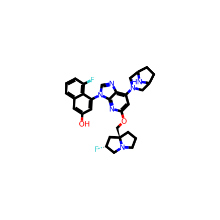 Oc1cc(-n2cnc3c(N4CC5CCC(C4)N5)cc(OC[C@@]45CCCN4C[C@H](F)C5)nc32)c2c(F)cccc2c1